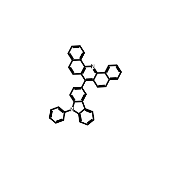 c1ccc(-n2c3ccccc3c3cc(-c4c5ccc6ccccc6c5nc5c4ccc4ccccc45)ccc32)cc1